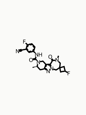 C[C@@H]1Cc2nn3c(c2CN1C(=O)Nc1ccc(F)c(C#N)c1)C(=O)N(C)CC1(CC(F)C1)C3